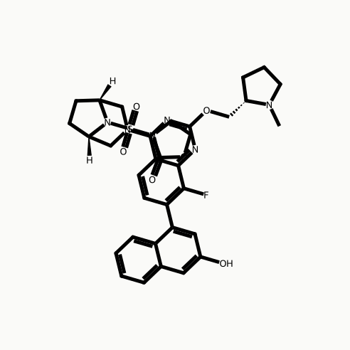 CN1CCC[C@H]1COc1nc(N2C[C@H]3CC[C@@H](C2)N3S(=O)(=O)N2CCOC2=O)c2ccc(-c3cc(O)cc4ccccc34)c(F)c2n1